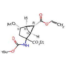 C=COC(=O)[C@H]1[C@H]2[C@@H]1C(NC(=O)OC(C)(C)C)(C(=O)OCC)C[C@@H]2OC(C)=O